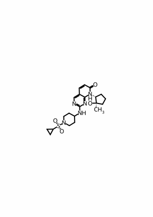 C[C@@]1(O)CCC[C@H]1n1c(=O)ccc2cnc(NC3CCN(S(=O)(=O)C4CC4)CC3)nc21